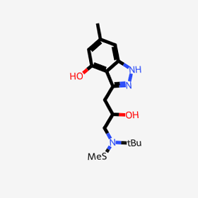 CSN(CC(O)Cc1n[nH]c2cc(C)cc(O)c12)C(C)(C)C